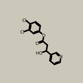 O=C(CC(O)c1cccnc1)Oc1ccc(Cl)c(Cl)c1